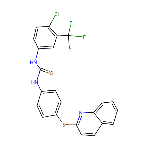 FC(F)(F)c1cc(NC(=S)Nc2ccc(Sc3ccc4ccccc4n3)cc2)ccc1Cl